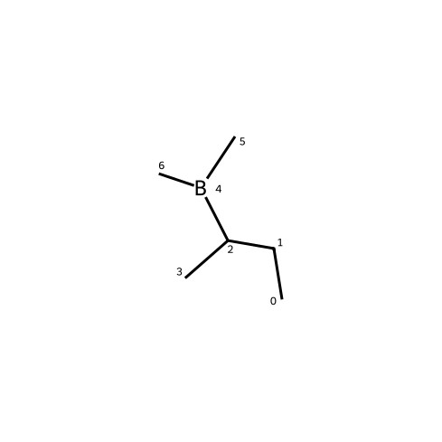 CCC(C)B(C)C